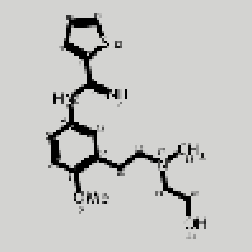 COc1ccc(NC(=N)c2cccs2)cc1CCN(C)CCO